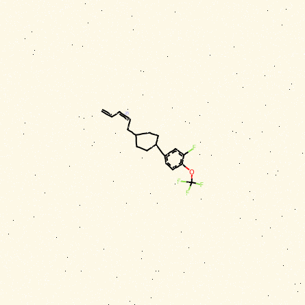 C=C/C=C\CC1CCC(c2ccc(OC(F)(F)F)c(F)c2)CC1